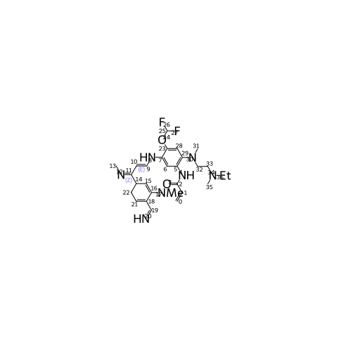 C=CC(=O)Nc1cc(N/C=C/C(=N\C)C2C=C(NC)C(C=N)=CC2)c(OC(F)F)cc1N(C)CCN(C)CC